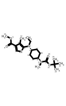 CCN(c1scc(C(=O)OC)c1C)[C@H]1CC[C@H](N(C)C(=O)OC(C)(C)C)CC1